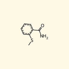 CSc1ccccc1C(N)=O